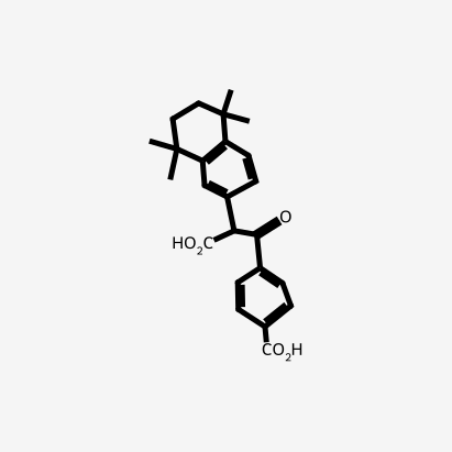 CC1(C)CCC(C)(C)c2cc(C(C(=O)O)C(=O)c3ccc(C(=O)O)cc3)ccc21